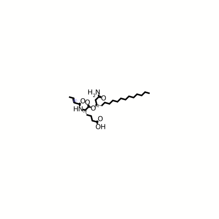 C/C=C/C(=O)N[C@@H](CCCC(=O)O)C(=O)O[C@@H](CCCCCCCCCCCCC)CC(N)=O